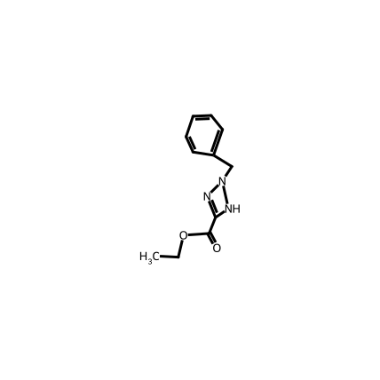 CCOC(=O)c1nn(Cc2ccccc2)[nH]1